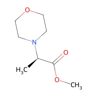 COC(=O)[C@@H](C)N1CCOCC1